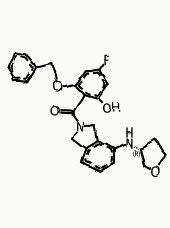 O=C(c1c(O)cc(F)cc1OCc1ccccc1)N1Cc2cccc(N[C@@H]3CCOC3)c2C1